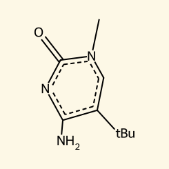 Cn1cc(C(C)(C)C)c(N)nc1=O